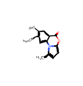 COc1cc2c(=O)oc3ccc(C)n3c2cc1OC